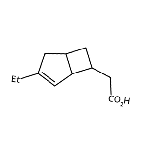 CCC1=CC2C(CC(=O)O)CC2C1